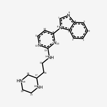 c1ccc2c(c1)ncn2-c1ccnc(NCCC2CNCCN2)n1